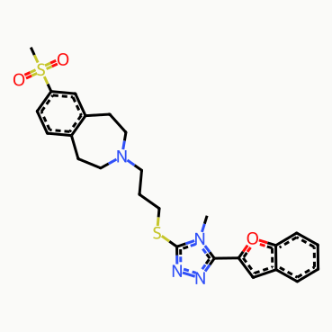 Cn1c(SCCCN2CCc3ccc(S(C)(=O)=O)cc3CC2)nnc1-c1cc2ccccc2o1